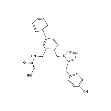 CC(C)(C)OC(=O)NCc1cc(-c2ccccc2)ccc1Cn1cncc1Cc1ccc(C#N)cc1